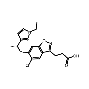 CCn1ccc([C@@H](C)Oc2cc3onc(CCC(=O)O)c3cc2Cl)n1